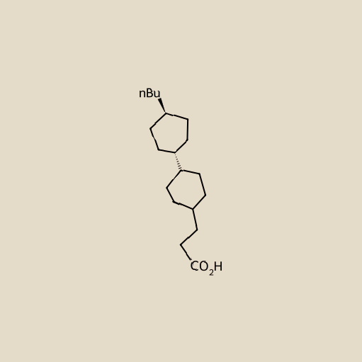 CCCC[C@H]1CC[C@H](C2CCC(CCC(=O)O)CC2)CC1